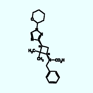 CC1(C)[C@@H](c2ncn(C3CCCCO3)n2)C[C@H]1N(Cc1ccccc1)C(=O)O